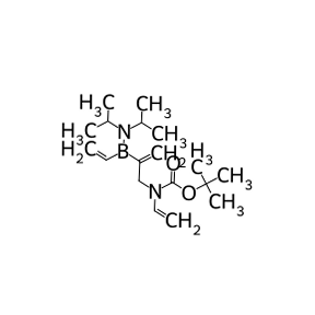 C=CB(C(=C)CN(C=C)C(=O)OC(C)(C)C)N(C(C)C)C(C)C